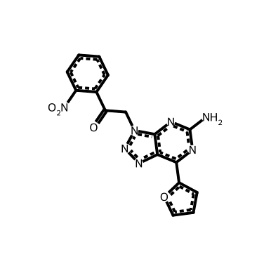 Nc1nc(-c2ccco2)c2nnn(CC(=O)c3ccccc3[N+](=O)[O-])c2n1